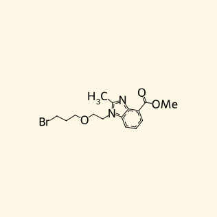 COC(=O)c1cccc2c1nc(C)n2CCOCCCBr